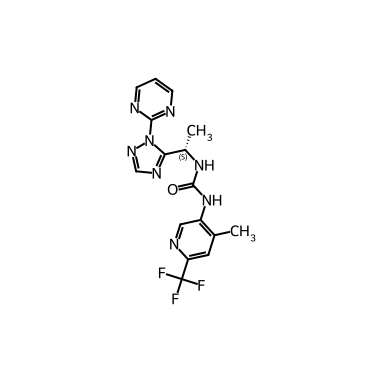 Cc1cc(C(F)(F)F)ncc1NC(=O)N[C@@H](C)c1ncnn1-c1ncccn1